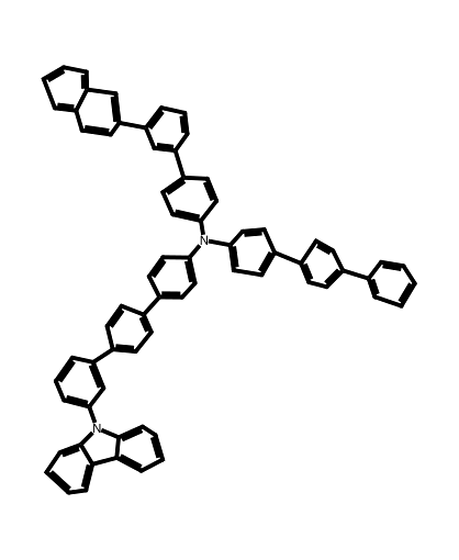 c1ccc(-c2ccc(-c3ccc(N(c4ccc(-c5ccc(-c6cccc(-n7c8ccccc8c8ccccc87)c6)cc5)cc4)c4ccc(-c5cccc(-c6ccc7ccccc7c6)c5)cc4)cc3)cc2)cc1